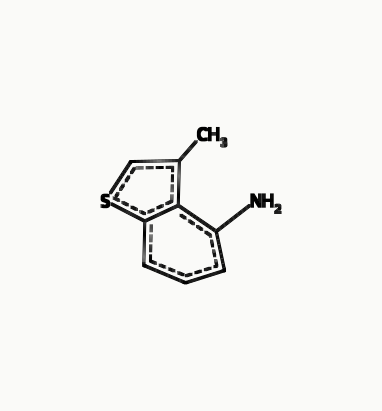 Cc1csc2cccc(N)c12